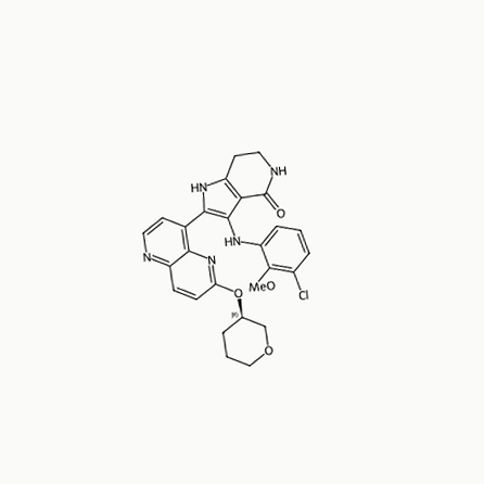 COc1c(Cl)cccc1Nc1c(-c2ccnc3ccc(O[C@@H]4CCCOC4)nc23)[nH]c2c1C(=O)NCC2